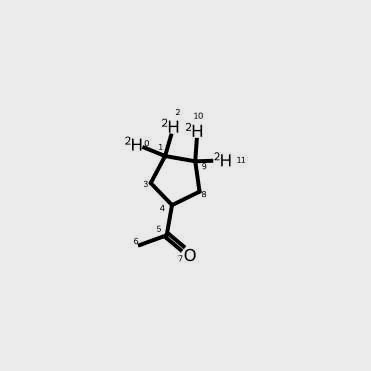 [2H]C1([2H])CC(C(C)=O)CC1([2H])[2H]